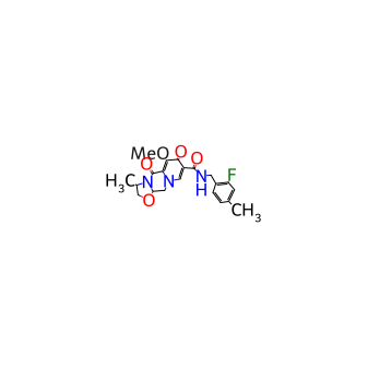 COc1c2n(cc(C(=O)NCc3ccc(C)cc3F)c1=O)CC1OCC(C)N1C2=O